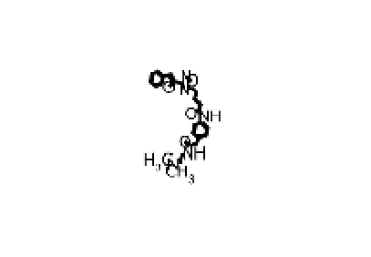 CN(C)CCNC(=O)Cc1ccc(NC(=O)CCCc2nc(-c3cc4ccccc4o3)no2)cc1